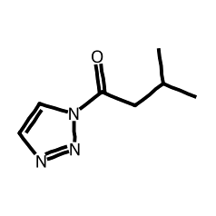 CC(C)CC(=O)n1ccnn1